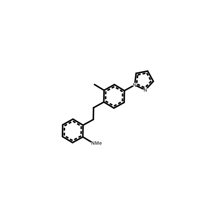 CNc1ccccc1CCc1ccc(-n2cccn2)cc1C